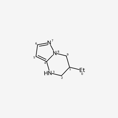 CCC1CNc2ccnn2C1